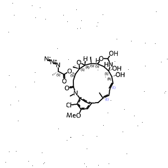 COc1cc2cc(c1Cl)N(C)C(=O)C[C@H](OC(=O)[C@H](C)N=[N+]=[N-])[C@]1(C)O[C@@H]1[C@@H](C)[C@@H]1C[C@@](O)(NC(O)O1)[C@H](O)/C=C/C=C(\C)C2